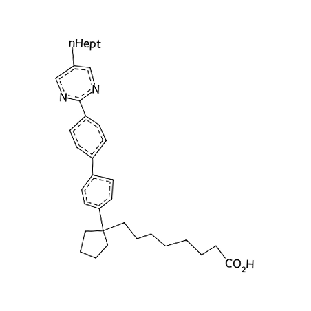 CCCCCCCc1cnc(-c2ccc(-c3ccc(C4(CCCCCCCC(=O)O)CCCC4)cc3)cc2)nc1